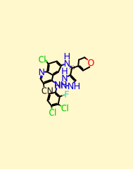 N#Cc1cnc2c(Cl)cc(N[C@@H](C3=CCOCC3)C3=CNNN3)cc2c1Nc1ccc(Cl)c(Cl)c1F